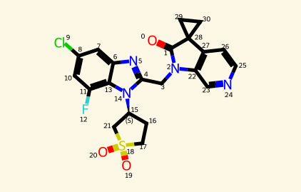 O=C1N(Cc2nc3cc(Cl)cc(F)c3n2[C@H]2CCS(=O)(=O)C2)c2cnccc2C12CC2